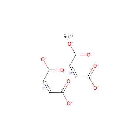 O=C([O-])/C=C\C(=O)[O-].O=C([O-])/C=C\C(=O)[O-].[Ru+4]